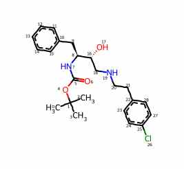 CC(C)(C)OC(=O)N[C@@H](Cc1ccccc1)[C@H](O)CNCCc1ccc(Cl)cc1